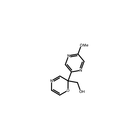 COc1cnc(C2(CO)C=NC=CO2)cn1